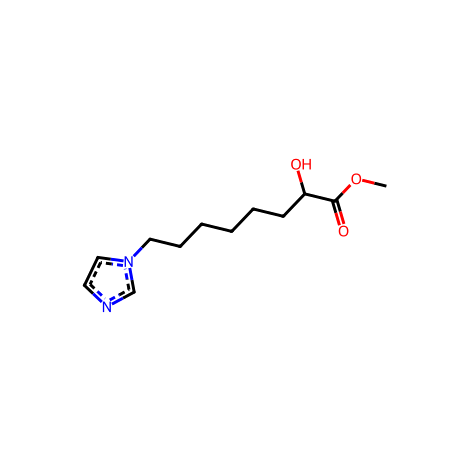 COC(=O)C(O)CCCCCCn1ccnc1